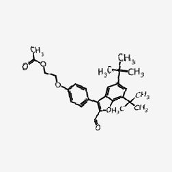 CC(=O)OCCOc1ccc(-c2c(C=O)oc3c(C(C)(C)C)cc(C(C)(C)C)cc23)cc1